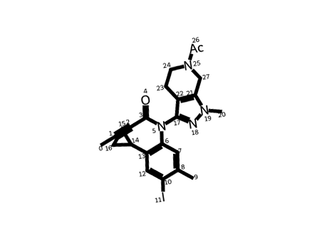 CC#CC(=O)N(c1cc(C)c(I)cc1C1CC1)c1nn(C)c2c1CCN(C(C)=O)C2